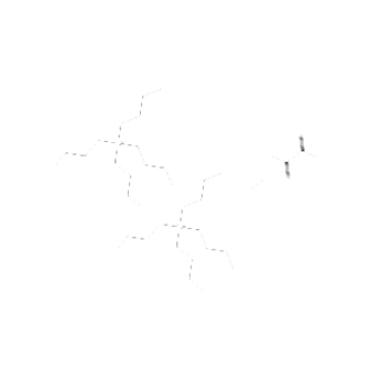 CCCC[N+](CCCC)(CCCC)CCCC.CCCC[N+](CCCC)(CCCC)CCCC.CO.O=C([O-])C(=O)[O-]